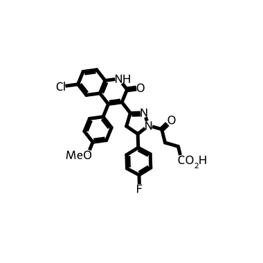 COc1ccc(-c2c(C3=NN(C(=O)CCC(=O)O)C(c4ccc(F)cc4)C3)c(=O)[nH]c3ccc(Cl)cc23)cc1